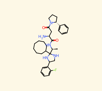 C[C@H](NC(=O)[C@@H](N)CC(=O)N1CCC[C@@H]1c1ccccc1)C1(C2CCCCCCC2)NCC(c2ccccc2F)N1